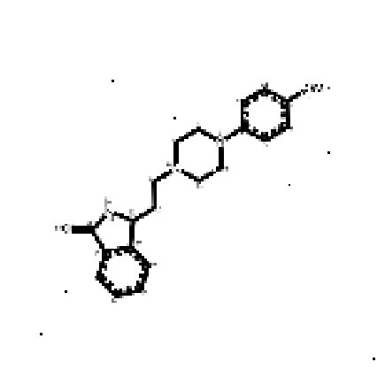 COc1ccc(N2CCN(CCC3NC(=O)c4ccccc43)CC2)cc1